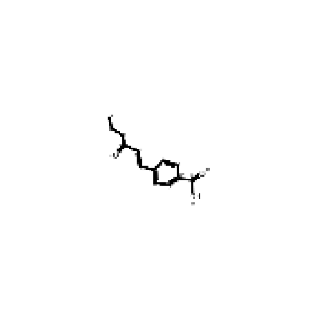 CCCC(=O)C=Cc1ccc(C(=O)O)cc1